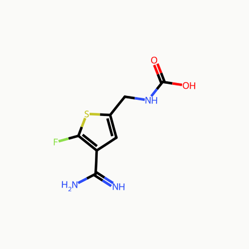 N=C(N)c1cc(CNC(=O)O)sc1F